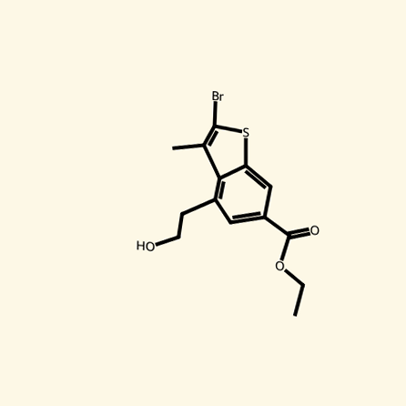 CCOC(=O)c1cc(CCO)c2c(C)c(Br)sc2c1